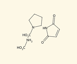 NC(=O)O.O=C(O)N1CCCC1.O=C1C=CC(=O)N1